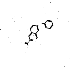 CCCOC(=O)c1cc2ccc(Oc3ccccc3)cc2cn1